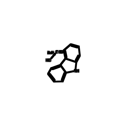 O=CO.[BaH2].c1ccc2c(c1)[nH]c1ccccc12